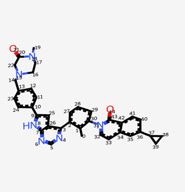 Cc1c(-c2ncnc3[nH]c(-c4ccc(CN5CCN(C)C(=O)C5)cc4)cc23)cccc1-n1ccc2cc(C3CC3)ccc2c1=O